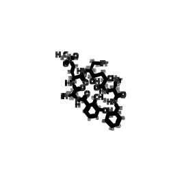 Cc1c(O)cccc1C(=O)N[C@H](C(=O)N[C@@H](CCS(C)(=O)=O)C(=O)N[C@@H](CC(C)C)[C@@H](O)C[C@@H](C)C(=O)N[C@@H](CC(C)C)C(=O)NCc1ccccc1)C(C)C